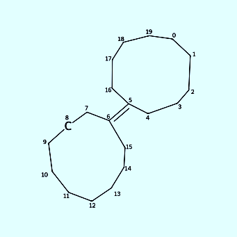 C1CCCCC(=C2CCCCCCCCC2)CCCC1